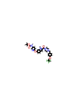 CN(C(=O)OC(C)(C)C)c1ccc(Oc2ccc3cc(C(=O)N4CCN(Cc5ccc(OCC(F)(F)F)cc5)CC4)n(C)c3c2)nc1